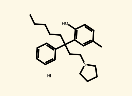 CCCCCC(CCN1CCCC1)(c1ccccc1)c1cc(C)ccc1O.I